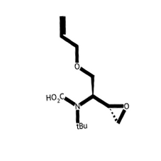 C=CCOC[C@@H]([C@H]1CO1)N(C(=O)O)C(C)(C)C